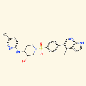 Cc1c(-c2ccc(S(=O)(=O)N3CC[C@@H](Nc4ccc(C#N)cn4)[C@@H](O)C3)cc2)cnc2[nH]ccc12